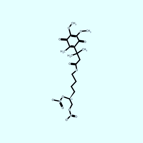 COC1=C(OC)C(=O)C(C(C)(C)CC(=O)OCCCC[C@@H](CO[N+](=O)[O-])O[N+](=O)[O-])=C(C)C1=O